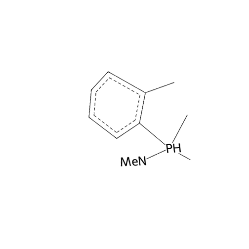 CN[PH](C)(C)c1ccccc1C